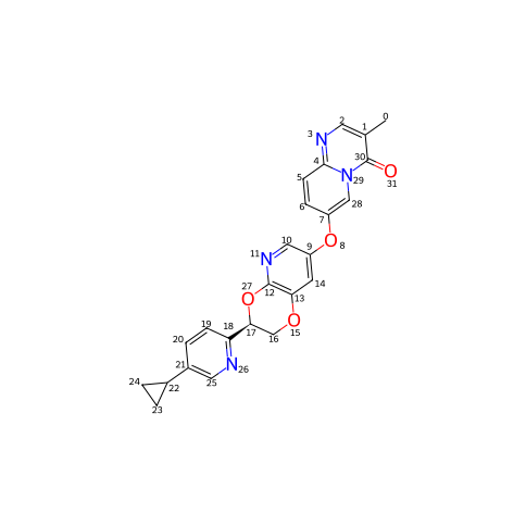 Cc1cnc2ccc(Oc3cnc4c(c3)OC[C@@H](c3ccc(C5CC5)cn3)O4)cn2c1=O